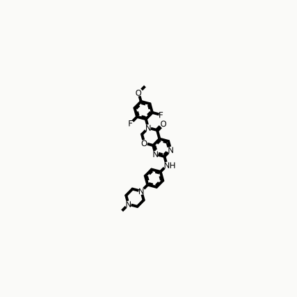 COc1cc(F)c(N2COc3nc(Nc4ccc(N5CCN(C)CC5)cc4)ncc3C2=O)c(F)c1